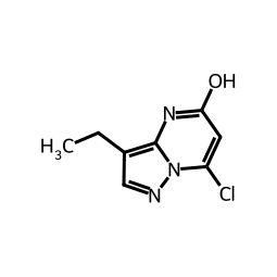 CCc1cnn2c(Cl)cc(O)nc12